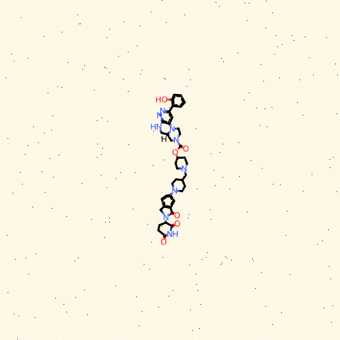 O=C1CCC(N2Cc3ccc(N4CCC(CN5CCC(OC(=O)N6CCN7c8cc(-c9ccccc9O)nnc8NC[C@H]7C6)CC5)CC4)cc3C2=O)C(=O)N1